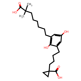 CC(C)(CCCCCCc1cc(O)cc(CCCCC2(C(=O)O)CC2)c1O)C(=O)O